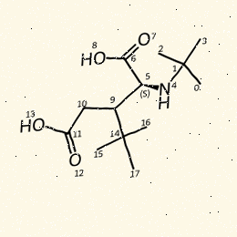 CC(C)(C)N[C@H](C(=O)O)C(CC(=O)O)C(C)(C)C